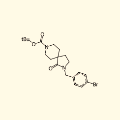 CC(C)(C)OC(=O)N1CCC2(CC1)CCN(Cc1ccc(Br)cc1)C2=O